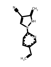 C=Cc1ccc(N2C=C(C#N)C(=C)N2)nc1